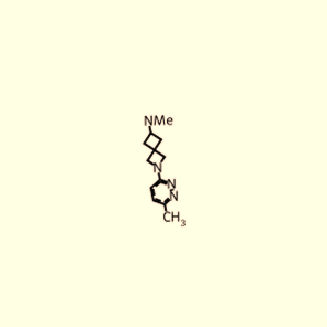 CNC1CC2(C1)CN(c1ccc(C)nn1)C2